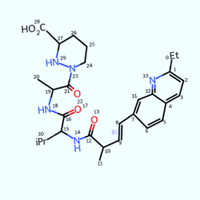 CCc1ccc2ccc(/C=C/C(C)C(=O)NC(C(=O)NC(C)C(=O)N3CCCC(C(=O)O)N3)C(C)C)cc2n1